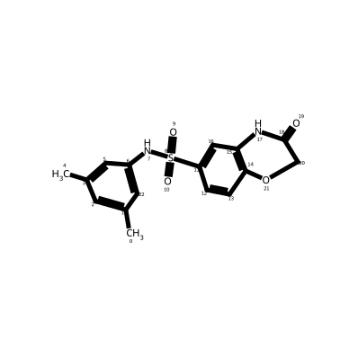 Cc1cc(C)cc(NS(=O)(=O)c2ccc3c(c2)NC(=O)CO3)c1